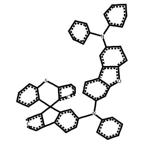 c1ccc(N(c2ccc3c(c2)C2(c4ccccc4Sc4ccccc42)c2ccccc2-3)c2ccc3c(c2)oc2ccc(N(c4ccccc4)c4ccccc4)cc23)cc1